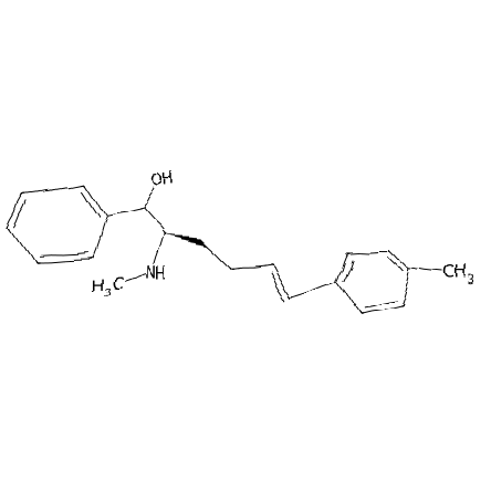 CN[C@H](CCC=Cc1ccc(C)cc1)C(O)c1ccccc1